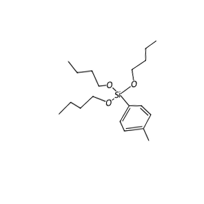 CCCCO[Si](OCCCC)(OCCCC)c1ccc(C)cc1